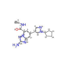 CCC(C)NC(=O)c1cc(-c2cnn(C3CCCC3)c2)cc2nc(N)nn12